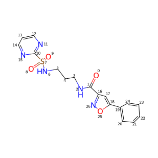 O=C(NCCCNS(=O)(=O)c1ncccn1)c1cc(-c2ccccc2)on1